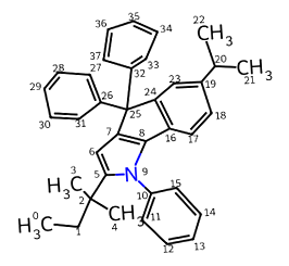 CCC(C)(C)c1cc2c(n1-c1ccccc1)-c1ccc(C(C)C)cc1C2(c1ccccc1)c1ccccc1